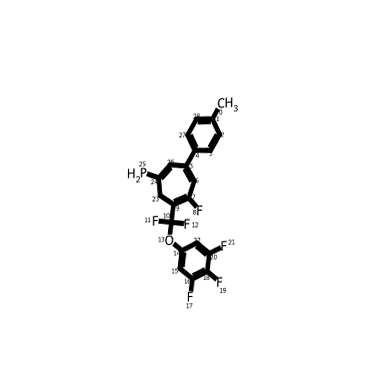 Cc1ccc(C2=CC(F)=C(C(F)(F)Oc3cc(F)c(F)c(F)c3)CC(P)=C2)cc1